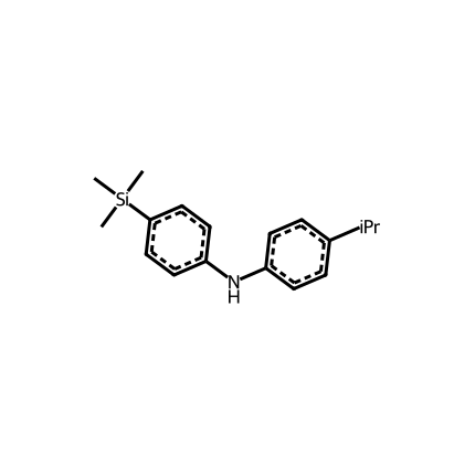 CC(C)c1ccc(Nc2ccc([Si](C)(C)C)cc2)cc1